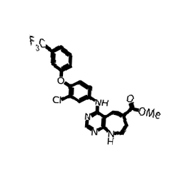 COC(=O)C1=Cc2c(ncnc2Nc2ccc(Oc3cccc(C(F)(F)F)c3)c(Cl)c2)NCC1